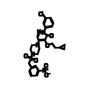 O=c1c(OCCC2CC2)c(N2CCN(S(=O)(=O)Cc3cccc([N+](=O)[O-])c3)CC2)cnn1-c1cccc(Cl)c1